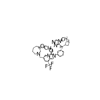 CO[C@H]1CCCCN(Cc2cc(C(F)(F)F)c3cn(-c4cccc([C@H](c5nncn5C)C5CCC5)c4)c(=O)n3c2)C1